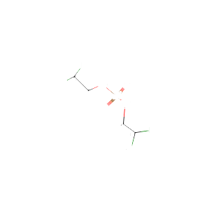 O=S(=O)(OCC(F)F)OCC(F)F